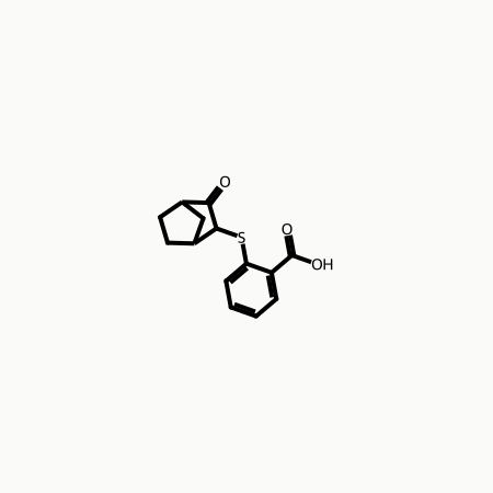 O=C(O)c1ccccc1SC1C(=O)C2CCC1C2